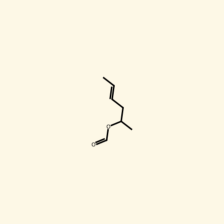 CC=CCC(C)OC=O